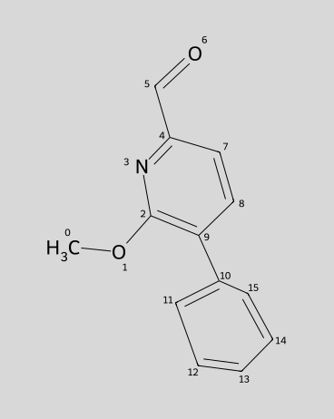 COc1nc(C=O)ccc1-c1ccccc1